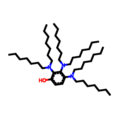 CCCCCCCN(CCCCCCC)c1ccc(O)c(N(CCCCCCC)CCCCCCC)c1N(CCCCCCC)CCCCCCC